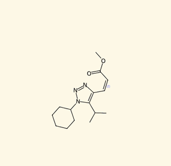 COC(=O)/C=C\c1nnn(C2CCCCC2)c1C(C)C